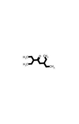 CCC([CH]C(=O)C(CC)CC)CC